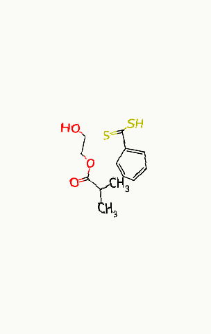 CC(C)C(=O)OCCO.S=C(S)c1ccccc1